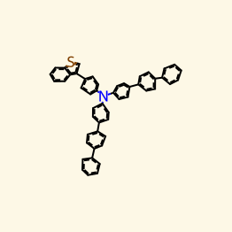 c1ccc(-c2ccc(-c3ccc(N(c4ccc(-c5ccc(-c6ccccc6)cc5)cc4)c4ccc(-c5csc6ccccc56)cc4)cc3)cc2)cc1